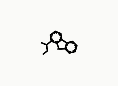 CCC(C)c1cccc2c1[C]c1ccccc1-2